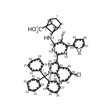 O=C(O)C1C2CCC(CC2)C1Nc1nc(-c2nn(C(c3ccccc3)(c3ccccc3)c3ccccc3)c3ncc(Cl)cc23)nc(-c2ccco2)c1F